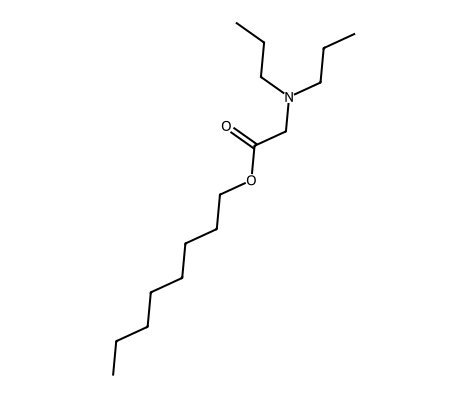 CCCCCCCCOC(=O)CN(CCC)CCC